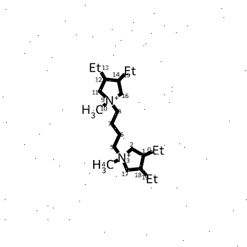 CCC1C[N+](C)(CCCC[N+]2(C)CC(CC)C(CC)C2)CC1CC